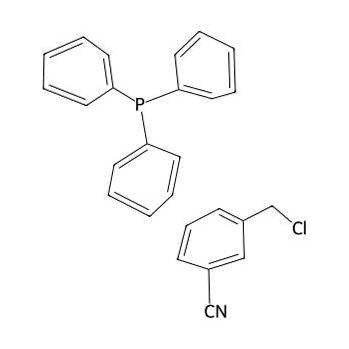 N#Cc1cccc(CCl)c1.c1ccc(P(c2ccccc2)c2ccccc2)cc1